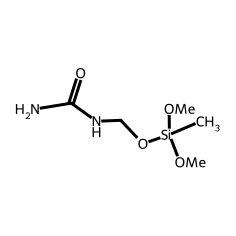 CO[Si](C)(OC)OCNC(N)=O